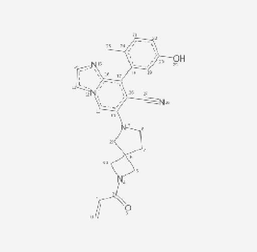 C=CC(=O)N1CC2(CCN(c3cn4ccnc4c(-c4cc(O)ccc4C)c3C#N)C2)C1